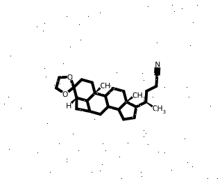 C[C@H](CCC#N)C1CCC2C3CC4C[C@H]5C4[C@](C)(CCC54OCCO4)C3CC[C@@]21C